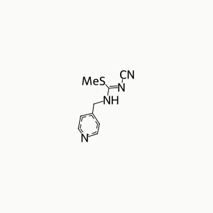 CS/C(=N\C#N)NCc1ccncc1